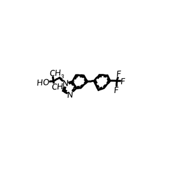 CC(C)(O)Cn1cnc2cc(-c3ccc(C(F)(F)F)cc3)ccc21